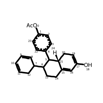 CC(=O)Oc1ccc(C2C(C3C=CC=CC3)CCC3=CC(O)=CC[C@H]32)cc1